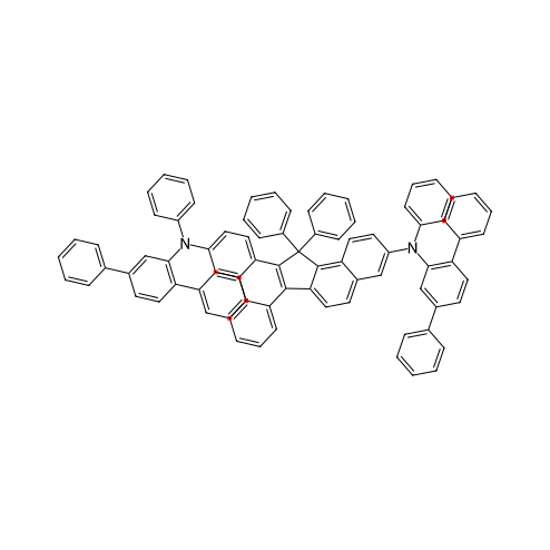 c1ccc(-c2ccc(-c3ccccc3)c(N(c3ccccc3)c3ccc4c5c(ccc4c3)-c3c(c4ccc(N(c6ccccc6)c6cc(-c7ccccc7)ccc6-c6ccccc6)cc4c4ccccc34)C5(c3ccccc3)c3ccccc3)c2)cc1